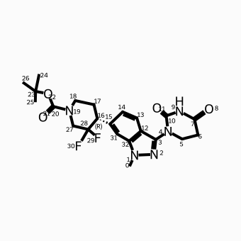 Cn1nc(N2CCC(=O)NC2=O)c2ccc([C@H]3CCN(C(=O)OC(C)(C)C)CC3(F)F)cc21